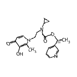 Cc1c(O)c(=O)ccn1CCN(C(=O)O[C@@H](C)c1cccnc1)C1CC1